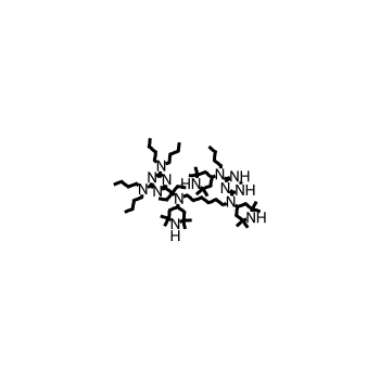 CCCCN(CCCC)c1nc(N(CCCC)CCCC)nc(C(CC)(CC)N(CCCCCCN(/C(=N/C(=N)N(CCCC)C2CC(C)(C)NC(C)(C)C2)NC)C2CC(C)(C)NC(C)(C)C2)C2CC(C)(C)NC(C)(C)C2)n1